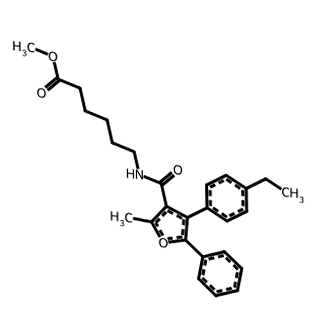 CCc1ccc(-c2c(-c3ccccc3)oc(C)c2C(=O)NCCCCCC(=O)OC)cc1